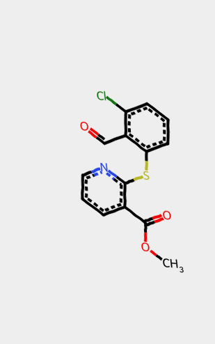 COC(=O)c1cccnc1Sc1cccc(Cl)c1C=O